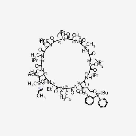 C/C=C/C[C@@H](C)[C@@H](OC(C)=O)[C@H]1C(=O)N[C@@H](CC)C(=O)N(C)[C@H](C)C(=O)N(C)[C@@H]([C@H](C)CCO[Si](c2ccccc2)(c2ccccc2)C(C)(C)C)C(=O)N[C@@H](C(C)C)C(=O)N(C)[C@@H](CC(C)C)C(=O)N[C@@H](C)C(=O)N[C@H](C)C(=O)N(C)[C@@H](CC(C)C)C(=O)N(C)[C@@H](CC(C)C)C(=O)N(C)[C@@H](C(C)C)C(=O)N1C